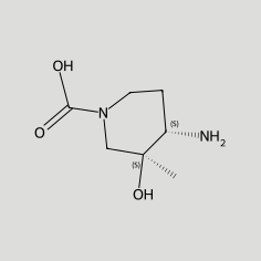 C[C@]1(O)CN(C(=O)O)CC[C@@H]1N